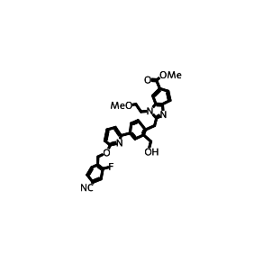 COCCn1c(Cc2ccc(-c3cccc(OCc4ccc(C#N)cc4F)n3)cc2CO)nc2ccc(C(=O)OC)cc21